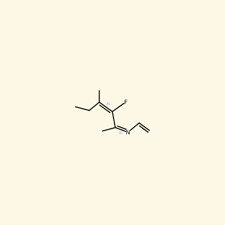 C=C/N=C(C)\C(F)=C(\C)CC